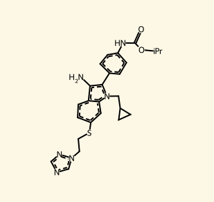 CC(C)OC(=O)Nc1ccc(-c2c(N)c3ccc(SCCn4cncn4)cc3n2CC2CC2)cc1